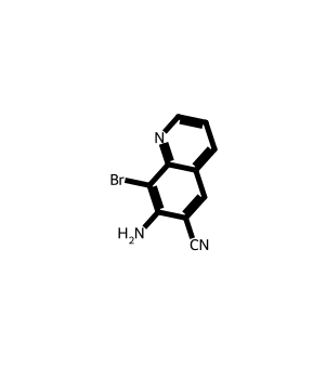 N#Cc1cc2cccnc2c(Br)c1N